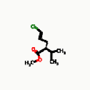 COC(=O)[C@H](C/C=C/Cl)C(C)C